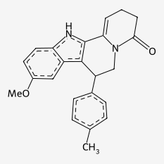 COc1ccc2[nH]c3c(c2c1)C(c1ccc(C)cc1)CN1C(=O)CCC=C31